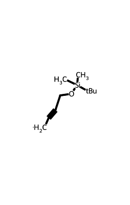 [CH2]C#CCO[Si](C)(C)C(C)(C)C